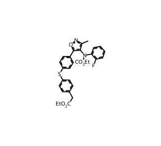 CCOC(=O)Cc1ccc(Sc2ccc(-c3onc(C)c3N(C(=O)OCC)c3ccccc3F)cc2)cc1